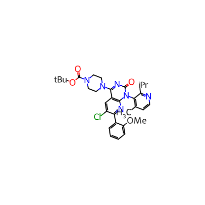 COc1ccccc1-c1nc2c(cc1Cl)c(N1CCN(C(=O)OC(C)(C)C)CC1)nc(=O)n2-c1c(C)ccnc1C(C)C